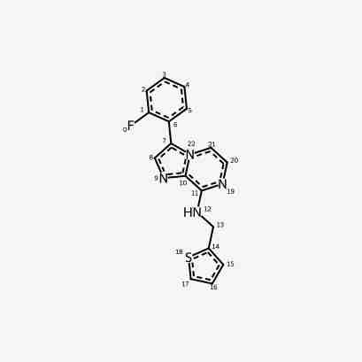 Fc1ccccc1-c1cnc2c(NCc3cccs3)nccn12